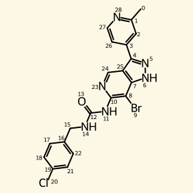 Cc1cc(-c2n[nH]c3c(Br)c(NC(=O)NCc4ccc(Cl)cc4)ncc23)ccn1